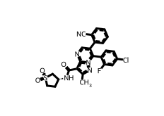 Cc1nn2c(-c3ccc(Cl)cc3F)c(-c3ccccc3C#N)cnc2c1C(=O)N[C@@H]1CCS(=O)(=O)C1